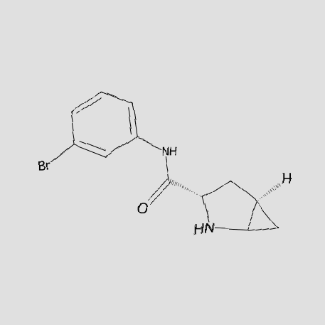 O=C(Nc1cccc(Br)c1)[C@@H]1C[C@H]2CC2N1